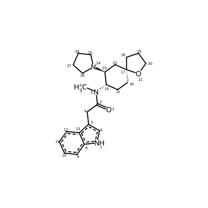 CN(C(=O)Cc1c[nH]c2ccccc12)[C@H]1CC[C@@]2(CCCO2)C[C@@H]1N1CCCC1